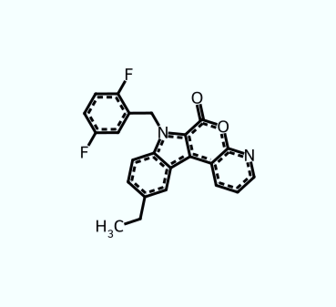 CCc1ccc2c(c1)c1c3cccnc3oc(=O)c1n2Cc1cc(F)ccc1F